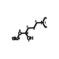 CN(C)CCCC(O)OC(C)(C)C